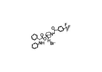 O=C(C[N+]12CCC(CC1)[C@@H](OC(=O)[C@H](Nc1ccccc1)c1ccccc1)C2)c1ccc(C(F)(F)F)cc1.[Br-]